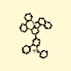 c1ccc(Nc2ccc(-c3cc4c5c(c3)c3c6ccccc6ccc3n5-c3ccccc3-c3ccccc3-4)cc2-c2ccccc2)cc1